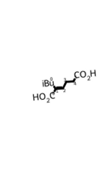 CCC(C)/C(=C\CCC(=O)O)C(=O)O